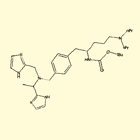 CCCN(CCC)CCCC(Cc1ccc(CN(Cc2ncc[nH]2)C(C)c2ncc[nH]2)cc1)NC(=O)OC(C)(C)C